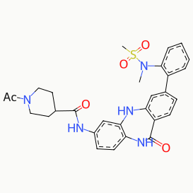 CC(=O)N1CCC(C(=O)Nc2ccc3c(c2)Nc2cc(-c4ccccc4N(C)S(C)(=O)=O)ccc2C(=O)N3)CC1